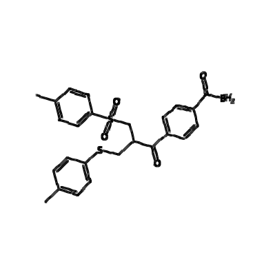 BC(=O)c1ccc(C(=O)C(CSc2ccc(C)cc2)CS(=O)(=O)c2ccc(C)cc2)cc1